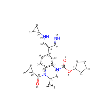 CC1CN(C(=O)OC2CCCC2)c2cc(/C(C=N)=C/NC3CC3)ccc2N1C(=O)C1CC1